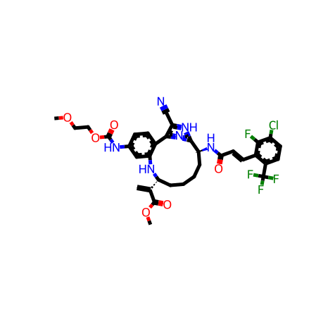 C=C(C(=O)OC)[C@H]1CCCC[C@H](NC(=O)/C=C/c2c(C(F)(F)F)ccc(Cl)c2F)c2nc(c(C#N)[nH]2)-c2ccc(NC(=O)OCCOC)cc2N1